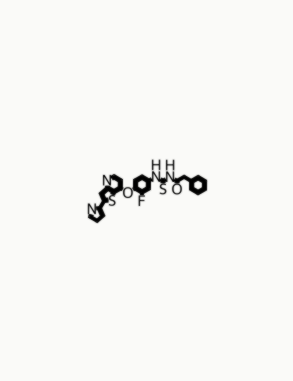 O=C(Cc1ccccc1)NC(=S)Nc1ccc(Oc2ccnc3cc(C4=CCC=N4)sc23)c(F)c1